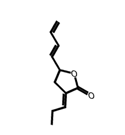 C=C/C=C/C1C/C(=C\CC)C(=O)O1